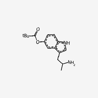 CC(N)Cc1c[nH]c2ccc(OC(=O)C(C)(C)C)cc12